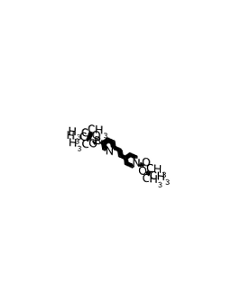 CC(C)(C)OC(=O)N1CCC(/C=C/c2ccc(B3OC(C)(C)C(C)(C)O3)cn2)CC1